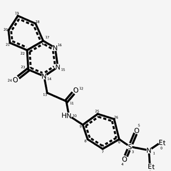 CCN(CC)S(=O)(=O)c1ccc(NC(=O)Cn2nnc3ccccc3c2=O)cc1